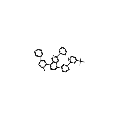 Cc1ccc(-c2ccccc2)cc1-c1ccc(-c2cccc(-c3cc(C(C)(C)C)ccn3)c2)c2cc(-c3ccccc3)ncc12